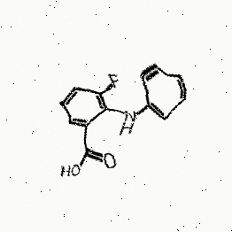 O=C(O)c1cccc(F)c1Nc1ccccc1